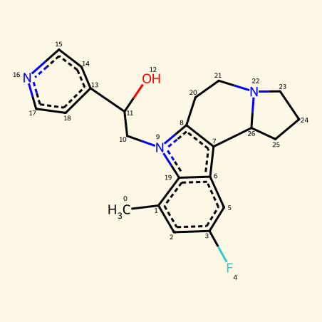 Cc1cc(F)cc2c3c(n(CC(O)c4ccncc4)c12)CCN1CCCC31